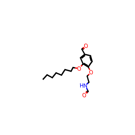 CCCCCCCCOc1cc(C=O)ccc1OCCNC=O